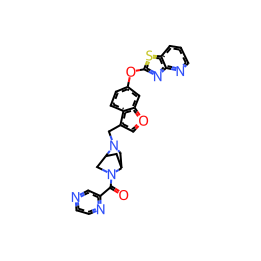 O=C(c1cnccn1)N1CC2CC1CN2Cc1coc2cc(Oc3nc4ncccc4s3)ccc12